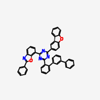 c1ccc(-c2cccc(-c3ccccc3-c3nc(-c4ccc5oc6ccccc6c5c4)nc(-c4cccc5nc(-c6ccccc6)oc45)n3)c2)cc1